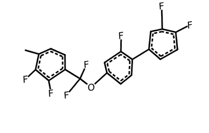 Cc1ccc(C(F)(F)Oc2ccc(-c3ccc(F)c(F)c3)c(F)c2)c(F)c1F